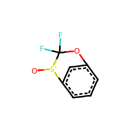 [O-][S+]1c2cccc(c2)OC1(F)F